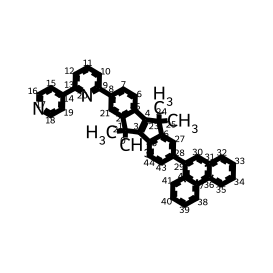 CC1(C)C2=C(c3ccc(-c4cccc(-c5ccncc5)n4)cc31)C(C)(C)c1cc(-c3cc4ccccc4c4ccccc34)ccc12